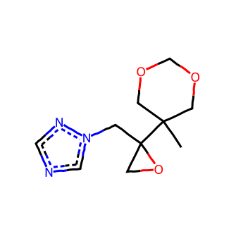 CC1(C2(Cn3cncn3)CO2)COCOC1